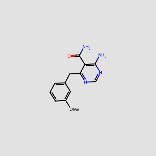 COc1cccc(Cc2ncnc(N)c2C(N)=O)c1